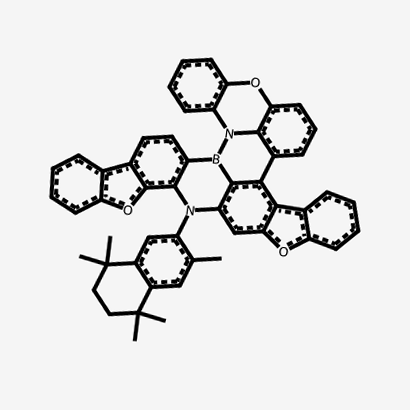 Cc1cc2c(cc1N1c3cc4oc5ccccc5c4c4c3B(c3ccc5c(oc6ccccc65)c31)N1c3ccccc3Oc3cccc-4c31)C(C)(C)CCC2(C)C